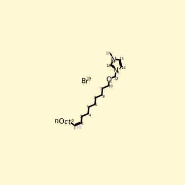 CCCCCCCC/C=C\CCCCCCCCOC[n+]1ccn(C)c1.[Br-]